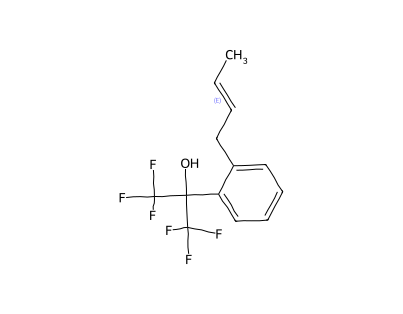 C/C=C/Cc1ccccc1C(O)(C(F)(F)F)C(F)(F)F